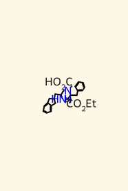 CCOC(=O)[C@H](CCc1ccccc1)NC(CNCC(=O)O)CC1Cc2ccccc2C1